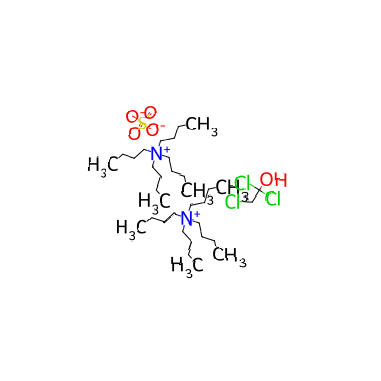 CCCC[N+](CCCC)(CCCC)CCCC.CCCC[N+](CCCC)(CCCC)CCCC.O=S(=O)([O-])[O-].OC(Cl)(Cl)CCl